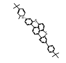 CC1C=C(C(C)(C)C)C=C[C@@H]1c1ccc2c(c1)Sc1ccc3c4c(ccc-2c14)-c1ccc(-c2ccc(C(C)(C)C)cc2)cc1S3